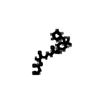 CN(OC(=O)CC(C)(C)C)C(=O)CCCC(=O)NC1CCC(Cc2ccccc2)(N(C)C)CC1